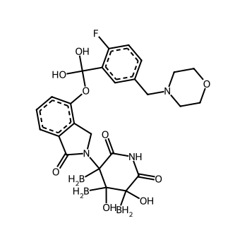 BC1(O)C(=O)NC(=O)C(B)(N2Cc3c(OC(O)(O)c4cc(CN5CCOCC5)ccc4F)cccc3C2=O)C1(B)O